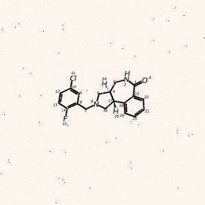 O=C1NC[C@@H]2CN(Cc3cc(Cl)ccc3F)C[C@H]2c2ccccc21